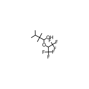 CC(C)C(C)(C)C(O)OC(C(F)(F)F)C(F)(F)F